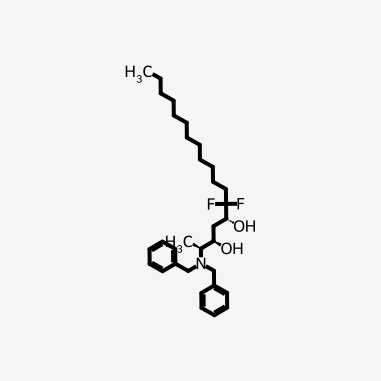 CCCCCCCCCCCCC(F)(F)[C@H](O)C[C@@H](O)[C@H](C)N(Cc1ccccc1)Cc1ccccc1